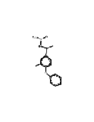 Cc1cc([C@H](C)N[S@+]([O-])C(C)(C)C)ccc1Oc1ccccc1